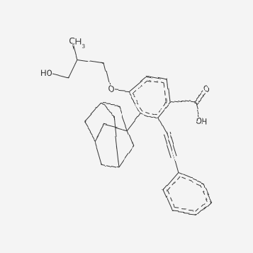 CC(CO)COc1ccc(C(=O)O)c(C#Cc2ccccc2)c1C12CC3CC(CC(C3)C1)C2